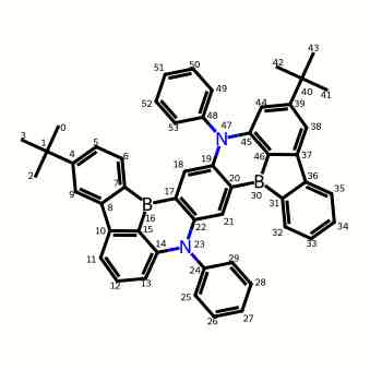 CC(C)(C)c1ccc2c(c1)-c1cccc3c1B2c1cc2c(cc1N3c1ccccc1)B1c3ccccc3-c3cc(C(C)(C)C)cc(c31)N2c1ccccc1